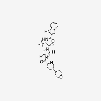 CC(C)(C)[C@H](NC(=O)c1cc2ccccc2[nH]1)C(=O)N1C[C@@H]2C[C@H]1CN2C(=O)c1ccc(C2=CCOCC2)cn1